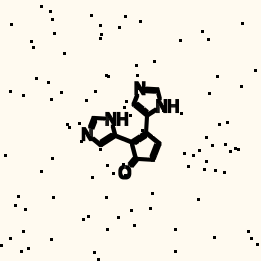 O=C1C=CC(c2cnc[nH]2)=C1c1cnc[nH]1